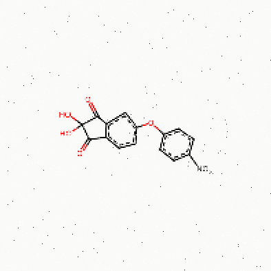 O=C1c2ccc(Oc3ccc([N+](=O)[O-])cc3)cc2C(=O)C1(O)O